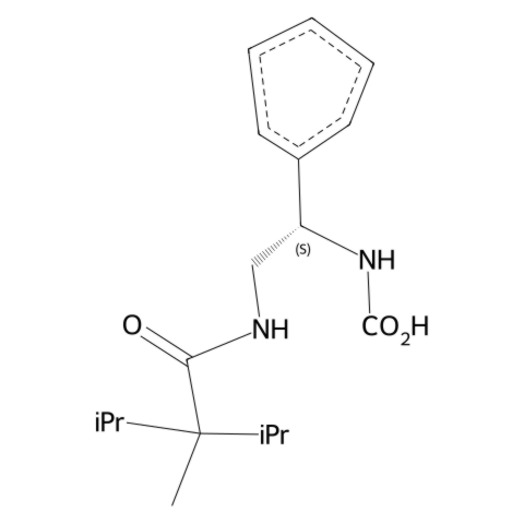 CC(C)C(C)(C(=O)NC[C@@H](NC(=O)O)c1ccccc1)C(C)C